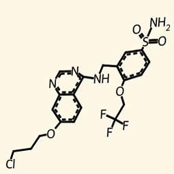 NS(=O)(=O)c1ccc(OCC(F)(F)F)c(CNc2ncnc3cc(OCCCCl)ccc23)c1